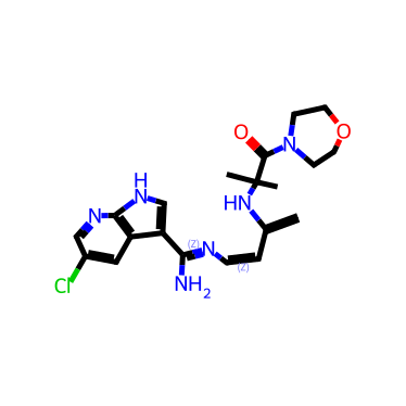 C=C(/C=C\N=C(/N)c1c[nH]c2ncc(Cl)cc12)NC(C)(C)C(=O)N1CCOCC1